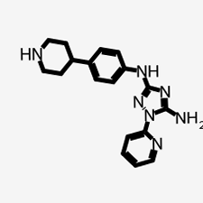 Nc1nc(Nc2ccc(C3CCNCC3)cc2)nn1-c1ccccn1